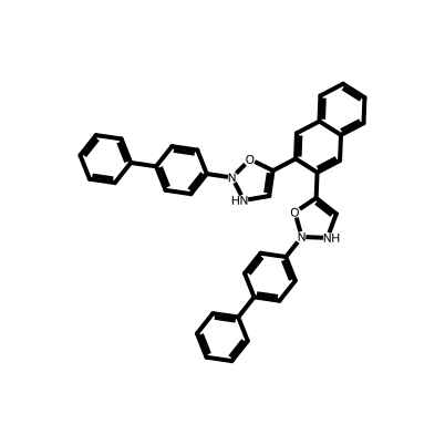 C1=C(c2cc3ccccc3cc2C2=CNN(c3ccc(-c4ccccc4)cc3)O2)ON(c2ccc(-c3ccccc3)cc2)N1